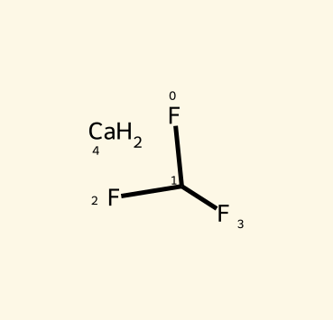 FC(F)F.[CaH2]